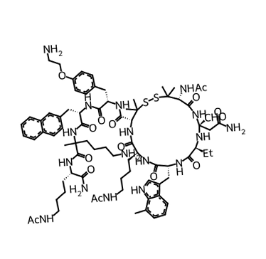 CC[C@@H]1N[C@@](C=O)(CC(N)=O)NC(=O)[C@@H](NC(C)=O)C(C)(C)SSC(C)(C)[C@@H](C(=O)N[C@@H](Cc2ccc(OCCN)cc2)C(=O)N[C@@H](Cc2ccc3ccccc3c2)C(=O)NC(C)(CCCCN)C(=O)N[C@@H](CCCCNC(C)=O)C(N)=O)NC(=O)[C@H](CCCCNC(C)=O)NC(=O)[C@@H](Cc2c[nH]c3c(C)cccc23)NC1=O